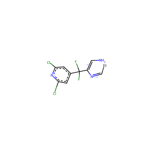 CC/C=N\C(=C/N)C(F)(F)c1cc(Cl)nc(Cl)c1